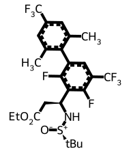 CCOC(=O)C[C@H](N[S@+]([O-])C(C)(C)C)c1c(F)c(-c2c(C)cc(C(F)(F)F)cc2C)cc(C(F)(F)F)c1F